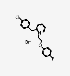 Fc1ccc(OCC[n+]2ccccc2Cc2ccc(Cl)cc2)cc1.[Br-]